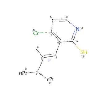 CCCC(CCC)/C(C)=C/c1c(Cl)ccnc1S